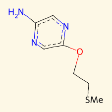 CSCCOc1cnc(N)cn1